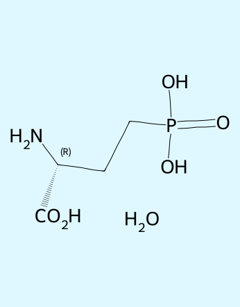 N[C@H](CCP(=O)(O)O)C(=O)O.O